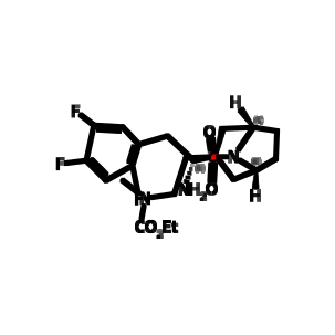 CCOC(=O)N(C)CCS(=O)(=O)N1[C@@H]2CC[C@H]1C[C@H]([C@H](N)Cc1cc(F)c(F)cc1F)C2